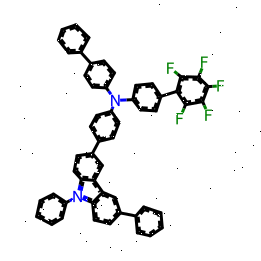 Fc1c(F)c(F)c(-c2ccc(N(c3ccc(-c4ccccc4)cc3)c3ccc(-c4ccc5c(c4)c4cc(-c6ccccc6)ccc4n5-c4ccccc4)cc3)cc2)c(F)c1F